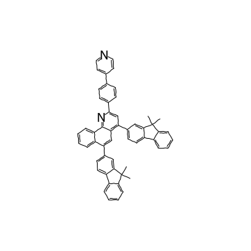 CC1(C)c2ccccc2-c2ccc(-c3cc4c(-c5ccc6c(c5)C(C)(C)c5ccccc5-6)cc(-c5ccc(-c6ccncc6)cc5)nc4c4ccccc34)cc21